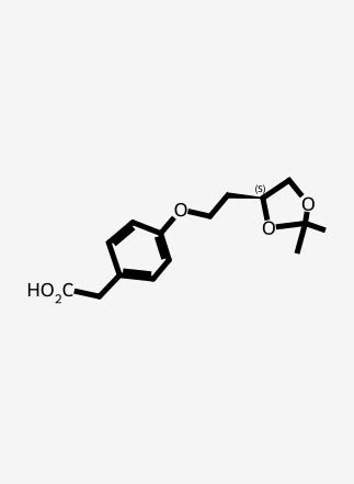 CC1(C)OC[C@H](CCOc2ccc(CC(=O)O)cc2)O1